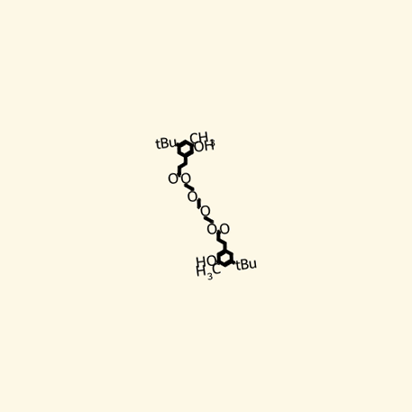 CC1(O)C=C(CCC(=O)OCCOCCOCCOC(=O)CCC2=CC(C)(O)C=C(C(C)(C)C)C2)CC(C(C)(C)C)=C1